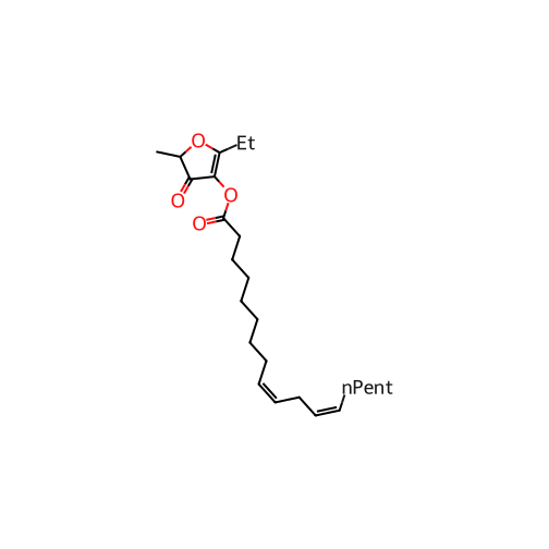 CCCCC/C=C\C/C=C\CCCCCCCC(=O)OC1=C(CC)OC(C)C1=O